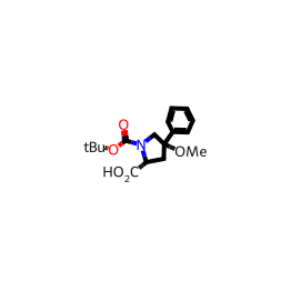 COC1(c2ccccc2)CC(C(=O)O)N(C(=O)OC(C)(C)C)C1